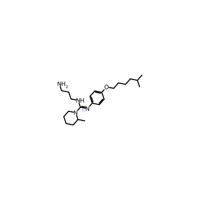 CC(C)CCCCOc1ccc(/N=C(\NCCCN)N2CCCCC2C)cc1